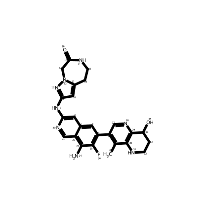 Cc1c(-c2cc3cc(Nc4cc5n(n4)CC(=O)NCC5)ncc3c(N)c2F)cnc2c1NCCC2O